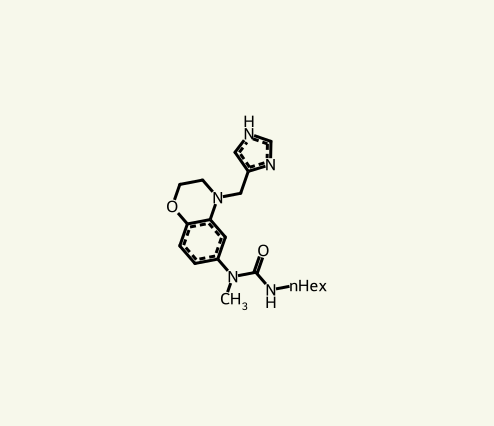 CCCCCCNC(=O)N(C)c1ccc2c(c1)N(Cc1c[nH]cn1)CCO2